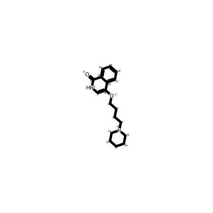 O=c1[nH]cc(OCCCCN2CCCCC2)c2ccccc12